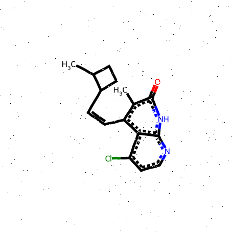 Cc1c(/C=C\C2CCC2C)c2c(Cl)ccnc2[nH]c1=O